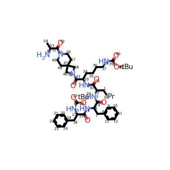 CC(C)CC(NC(=O)C(Cc1ccccc1)NC(=O)C(Cc1ccccc1)NC(=O)OC(C)(C)C)C(=O)NC(CCCCNC(=O)OC(C)(C)C)C(=O)N1CC2(CCN(C(=O)C(C)N)CC2)C1